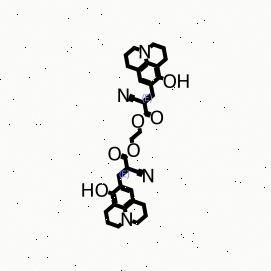 N#C/C(=C\c1cc2c3c(c1O)CCCN3CCC2)C(=O)OCCOC(=O)/C(C#N)=C/c1cc2c3c(c1O)CCCN3CCC2